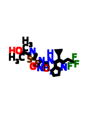 CC(C)(O)c1ncc([S@](N)(=O)=NC(=O)Nc2c3c(nc(CC(F)(F)F)c2C2CC2)CCC3)s1